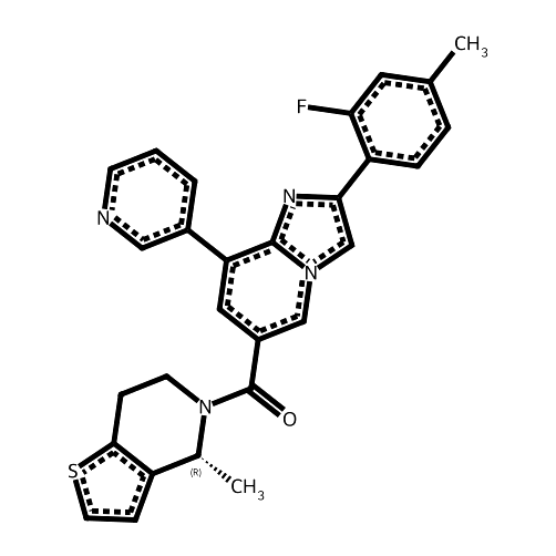 Cc1ccc(-c2cn3cc(C(=O)N4CCc5sccc5[C@H]4C)cc(-c4cccnc4)c3n2)c(F)c1